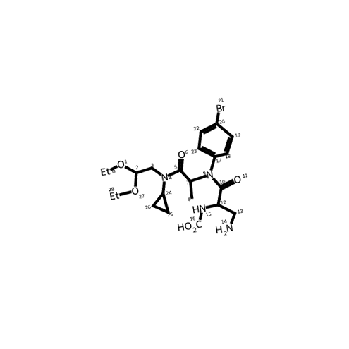 CCOC(CN(C(=O)C(C)N(C(=O)C(CN)NC(=O)O)c1ccc(Br)cc1)C1CC1)OCC